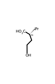 CC(C)[C@H](CCO)C(=O)O